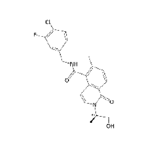 Cc1ccc2c(=O)n([C@H](C)CO)ccc2c1C(=O)NCc1ccc(Cl)c(F)c1